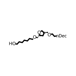 CCCCCCCCCCCCOC[C@@H]1CO[C@@H](COCCCCCCCO)C1